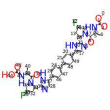 COC(=O)N[C@@H](C)C(=O)N1C[C@H](F)C[C@H]1c1ncc(-c2ccc(-c3ccc(-c4cnc([C@@H]5C[C@@H](F)CN5C(=O)[C@H](C)NC(=O)O)[nH]4)cc3)cc2)[nH]1